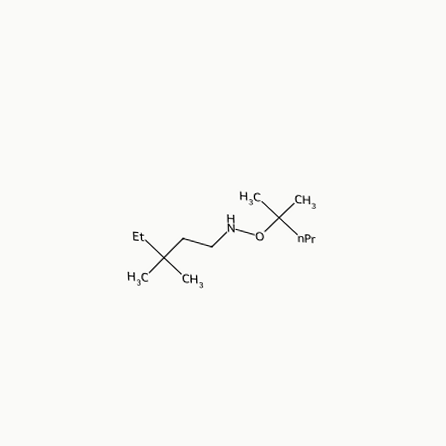 CCCC(C)(C)ONCCC(C)(C)CC